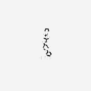 Nc1cc(N2CCc3nc(-c4cnc(N5CCCC5)nc4)sc3C2=O)ccc1F